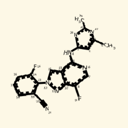 Cc1cc(Nc2ncc(F)c3nn(-c4c(F)cccc4C#N)cc23)nc(C)n1